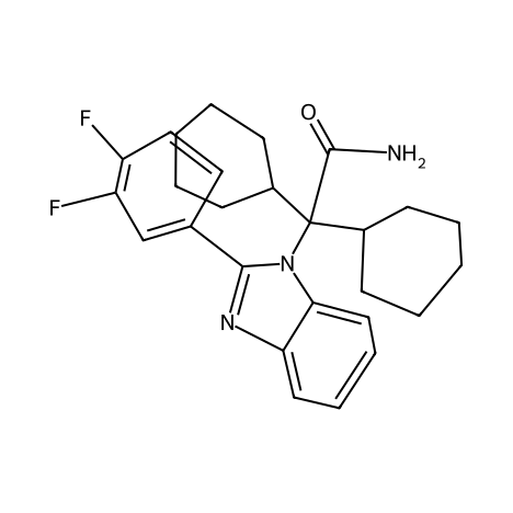 NC(=O)C(C1CCCCC1)(C1CCCCC1)n1c(-c2ccc(F)c(F)c2)nc2ccccc21